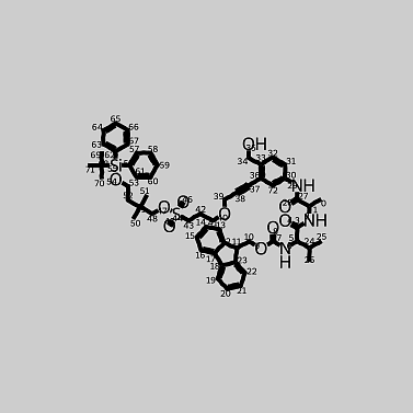 CC(NC(=O)C(NC(=O)OCC1c2ccccc2-c2ccccc21)C(C)C)C(=O)Nc1ccc(CO)c(C#CCOCCCS(=O)(=O)OCC(C)(C)CCO[Si](c2ccccc2)(c2ccccc2)C(C)(C)C)c1